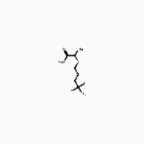 CCCCC(SCCCC(F)(F)C(F)(F)F)C(=O)OC